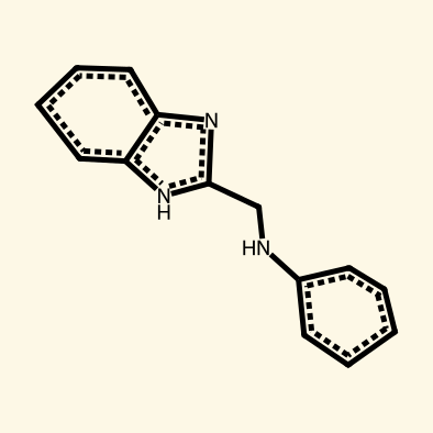 c1ccc(NCc2nc3ccccc3[nH]2)cc1